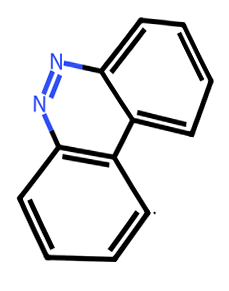 [c]1cccc2nnc3ccccc3c12